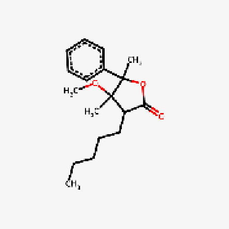 CCCCCC1C(=O)OC(C)(c2ccccc2)C1(C)OC